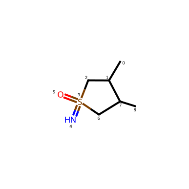 CC1CS(=N)(=O)CC1C